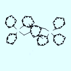 Brc1cc(C[P+](c2ccccc2)(c2ccccc2)c2ccccc2)c(Br)cc1C[P+](c1ccccc1)(c1ccccc1)c1ccccc1.[Br-].[Br-]